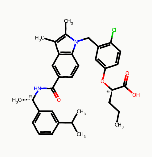 CCC[C@@H](Oc1ccc(Cl)c(Cn2c(C)c(C)c3cc(C(=O)N[C@@H](C)c4cccc(C(C)C)c4)ccc32)c1)C(=O)O